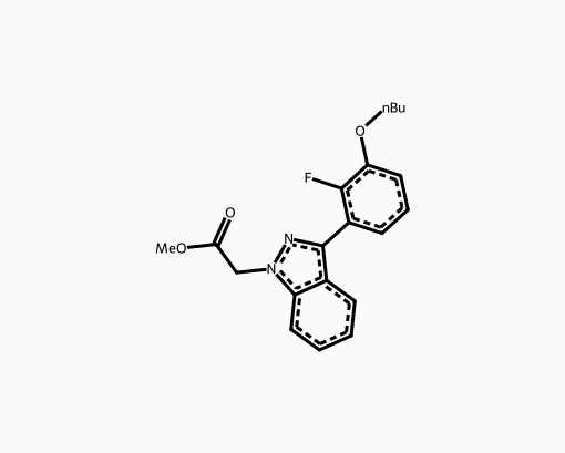 CCCCOc1cccc(-c2nn(CC(=O)OC)c3ccccc23)c1F